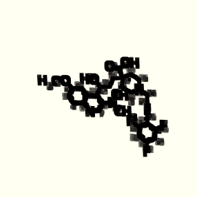 COc1ccc2ncc(N(C)C)c([C@@H](O)CCC3(C(=O)O)CCN(CC#Cc4c(F)cc(F)cc4F)CC3)c2c1